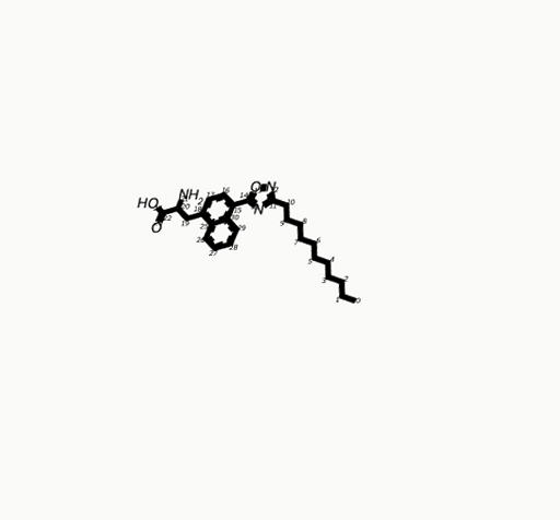 CCCCCCCCCCCc1noc(-c2ccc(CC(N)C(=O)O)c3ccccc23)n1